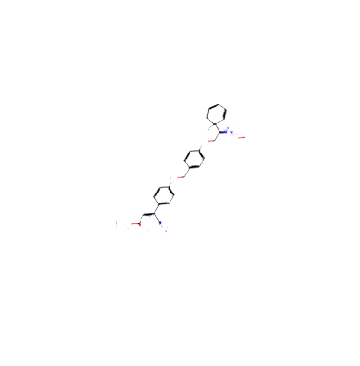 CO/N=C(\COc1ccc(COc2ccc(/C(C#N)=C/C(=O)O)cc2)cc1)C1(C)C=CC=CC1